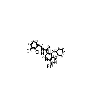 CCn1ncc2c(NC3CCOCC3)c(C(=O)NCc3cccc(Cl)c3Cl)cnc21